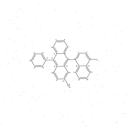 Cc1ccc(-c2c3ccccc3c(-c3ccccc3)c3ccc(Cl)cc23)c2ccccc12